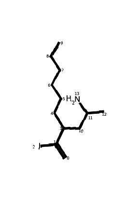 C=C(I)C(CCCCCC)CC(C)N